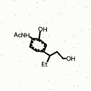 CCC(CCO)c1ccc(NC(C)=O)c(O)c1